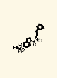 CCN(CCCc1ccccc1)C(=O)N1CCc2cc(S(=O)(=O)N(CC)CC)ccc21